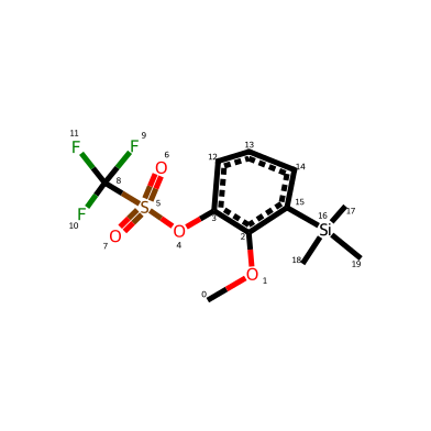 COc1c(OS(=O)(=O)C(F)(F)F)cccc1[Si](C)(C)C